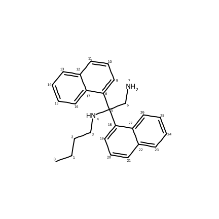 CCCCNC(CN)(c1cccc2ccccc12)c1cccc2ccccc12